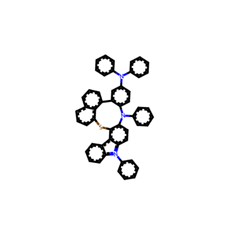 c1ccc(N(c2ccccc2)c2ccc3c(c2)-c2cccc4cccc(c24)Sc2c(ccc4c2c2ccccc2n4-c2ccccc2)N3c2ccccc2)cc1